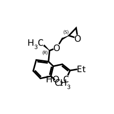 CCC(=Cc1c(C)cccc1[C@@H](C)OC[C@H]1CO1)C(=O)O